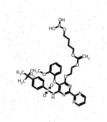 C=C(OCCCCON(O)O)OCCOc1nc(-c2ncccn2)nc(NS(=O)(=O)c2ccc(C(C)(C)C)cc2)c1Oc1ccccc1OC